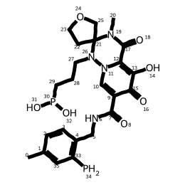 Cc1ccc(CNC(=O)c2cn3c(c(O)c2=O)C(=O)N(C)C2(CCOC2)N3CCCP(O)O)c(P)c1